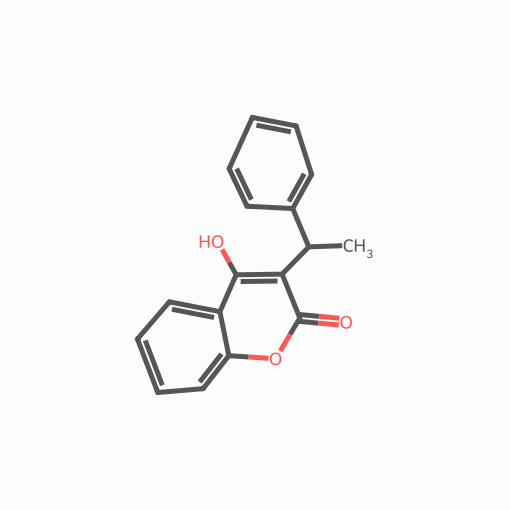 CC(c1ccccc1)c1c(O)c2ccccc2oc1=O